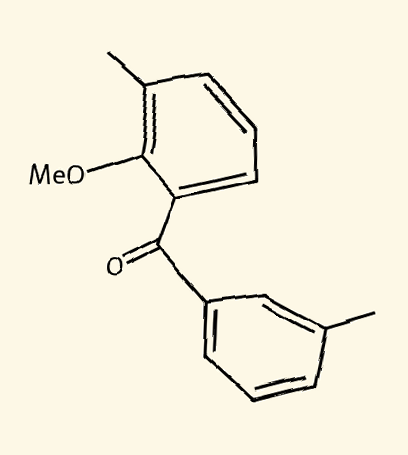 COc1c(C)cccc1C(=O)c1cccc(C)c1